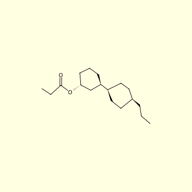 CCC[C@H]1CC[C@@H]([C@@H]2CCC[C@@H](OC(=O)CC)C2)CC1